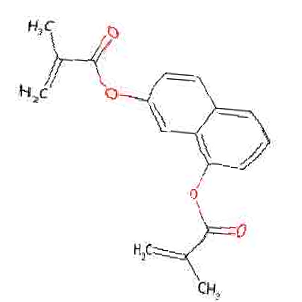 C=C(C)C(=O)Oc1ccc2cccc(OC(=O)C(=C)C)c2c1